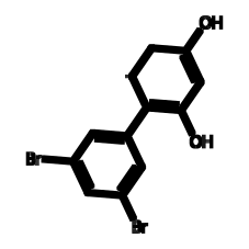 OC1=CC(O)=C(c2cc(Br)cc(Br)c2)[CH]C1